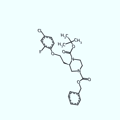 CC(C)(C)OC(=O)N1CCN(C(=O)OCc2ccccc2)C[C@H]1CCOc1ccc(Cl)cc1F